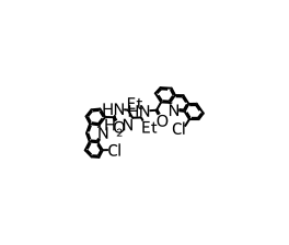 CCC(NC(=O)c1cccc2cc3cccc(Cl)c3nc12)C(N)C(CC)NC(=O)c1cccc2cc3cccc(Cl)c3nc12